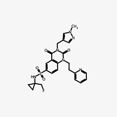 Cn1cc(Cn2c(=O)c3cc(S(=O)(=O)NC4(CF)CC4)ccc3n(CCc3ccccn3)c2=O)cn1